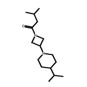 CC(C)CC(=O)N1CC(N2CCC(C(C)C)CC2)C1